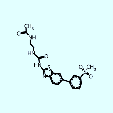 CC(=O)NCCNC(=O)Nc1nc2ccc(-c3cccc(S(C)(=O)=O)c3)cc2s1